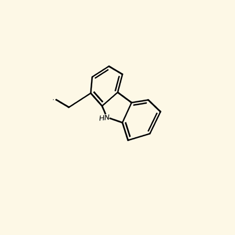 [CH2]Cc1cccc2c1[nH]c1ccccc12